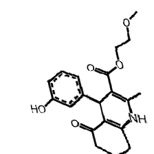 COCCOC(=O)C1=C(C)NC2=C(C(=O)CCC2)C1c1cccc(O)c1